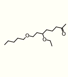 CCCCCOCCC(CCCC(C)=O)OCC